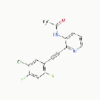 O=C(Nc1cccnc1C#Cc1cc(Cl)c(F)cc1F)C(F)(F)F